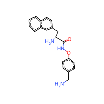 NCc1ccc(ONC(=O)[C@H](N)Cc2ccc3ccccc3c2)cc1